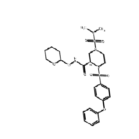 CN(C)S(=O)(=O)N1CCN(S(=O)(=O)c2ccc(Oc3ccccc3)cc2)[C@@H](C(=O)NOC2CCCCO2)C1